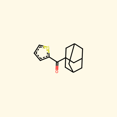 O=C(c1cccs1)C12CC3CC(CC(C3)C1)C2